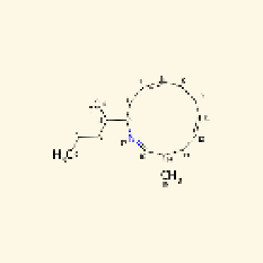 CC=CC(C)C1CC=CCCC=CCC(C)C=N1